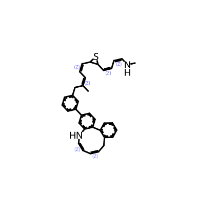 CN/C=C\C=C/C1SC1/C=C\C=C(\C)Cc1cccc(-c2ccc3c(c2)N/C=C\C=C/Cc2ccccc2-3)c1